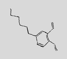 C=Cc1ccc(CCCCCC)cc1C=C